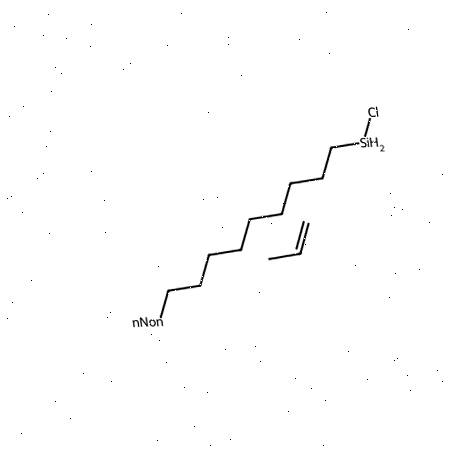 C=CC.CCCCCCCCCCCCCCCCCC[SiH2]Cl